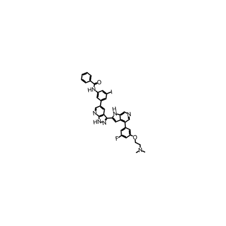 CN(C)CCOc1cc(F)cc(-c2cncc3[nH]c(-c4n[nH]c5ncc(-c6cc(I)cc(NC(=O)c7ccccc7)c6)cc45)cc23)c1